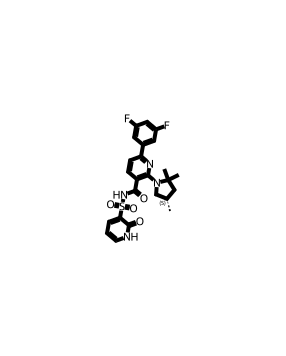 C[C@@H]1CN(c2nc(-c3cc(F)cc(F)c3)ccc2C(=O)NS(=O)(=O)c2ccc[nH]c2=O)C(C)(C)C1